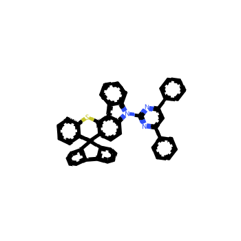 c1ccc(-c2cc(-c3ccccc3)nc(-n3c4ccccc4c4c5c(ccc43)C3(c4ccccc4S5)c4ccccc4-c4ccccc43)n2)cc1